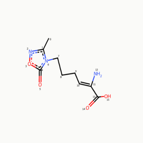 Cc1noc(=O)n1CCCC=C(N)C(=O)O